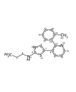 CCCNc1ncc(-c2cccnc2-c2ccccc2C)s1